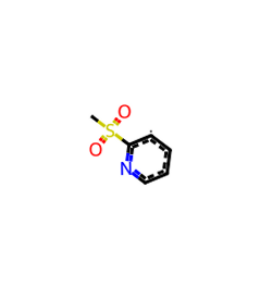 CS(=O)(=O)c1[c]cccn1